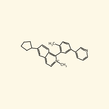 Cc1ccc(-c2cccnc2)cc1-c1c2ccc(C3CCCC3)cc2cc[n+]1C